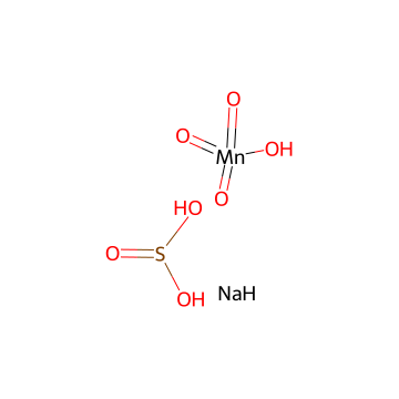 O=S(O)O.[NaH].[O]=[Mn](=[O])(=[O])[OH]